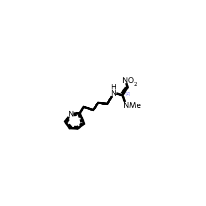 CN/C(=C/[N+](=O)[O-])NCCCCc1ccccn1